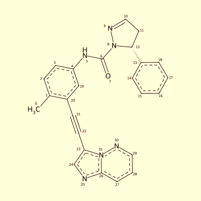 Cc1ccc(NC(=O)N2N=CC[C@@H]2c2ccccc2)cc1C#Cc1cnc2cccnn12